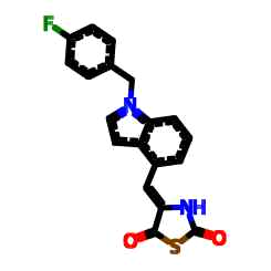 O=C1NC(=Cc2cccc3c2ccn3Cc2ccc(F)cc2)C(=O)S1